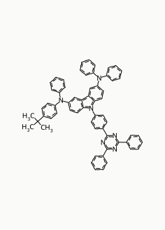 CC(C)(C)c1ccc(N(c2ccccc2)c2ccc3c(c2)c2cc(N(c4ccccc4)c4ccccc4)ccc2n3-c2ccc(-c3nc(-c4ccccc4)nc(-c4ccccc4)n3)cc2)cc1